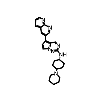 c1cnc2ncc(-c3ccn4nc(N[C@H]5CC[C@@H](N6CCCCC6)CC5)ncc34)cc2c1